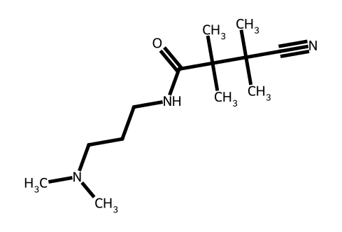 CN(C)CCCNC(=O)C(C)(C)C(C)(C)C#N